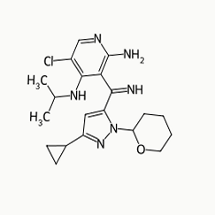 CC(C)Nc1c(Cl)cnc(N)c1C(=N)c1cc(C2CC2)nn1C1CCCCO1